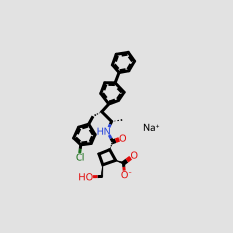 C[C@H](NC(=O)[C@H]1C[C@H](CO)[C@@H]1C(=O)[O-])[C@H](Cc1ccc(Cl)cc1)c1ccc(-c2ccccc2)cc1.[Na+]